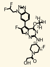 [2H]C([2H])([2H])Oc1nc(N[C@H]2CCN(C(=O)CO)C[C@H]2F)nn2cc(F)c(-c3ccc4nnn(CC(F)F)c4c3)c12